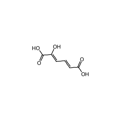 O=C(O)/C=C/C=C(\O)C(=O)O